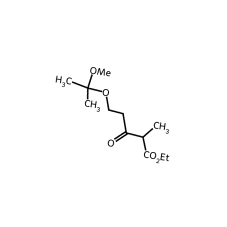 CCOC(=O)C(C)C(=O)CCOC(C)(C)OC